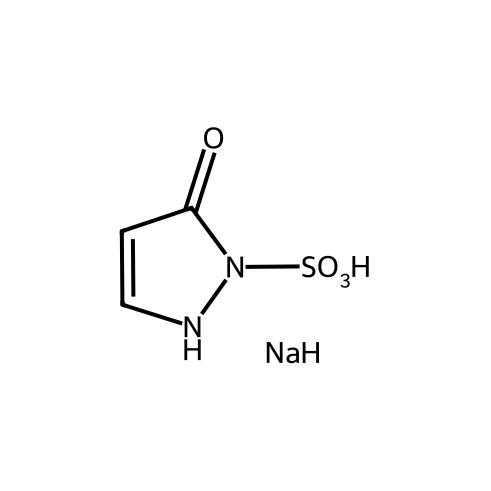 O=c1cc[nH]n1S(=O)(=O)O.[NaH]